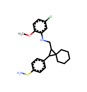 COc1ccc(Cl)cc1NCC1C(c2ccc(SN)cc2)C12CCCCC2